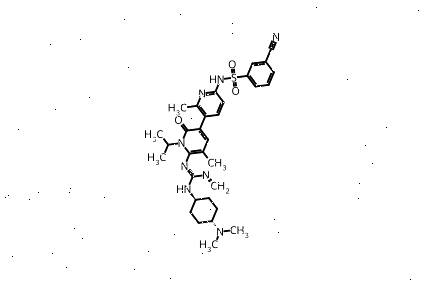 C=N/C(=N\c1c(C)cc(-c2ccc(NS(=O)(=O)c3cccc(C#N)c3)nc2C)c(=O)n1C(C)C)N[C@H]1CC[C@H](N(C)C)CC1